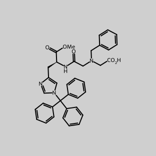 COC(=O)[C@H](Cc1cn(C(c2ccccc2)(c2ccccc2)c2ccccc2)cn1)NC(=O)CN(CC(=O)O)Cc1ccccc1